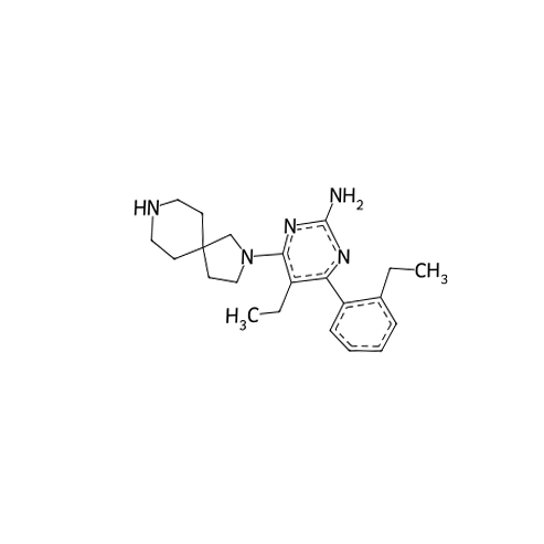 CCc1ccccc1-c1nc(N)nc(N2CCC3(CCNCC3)C2)c1CC